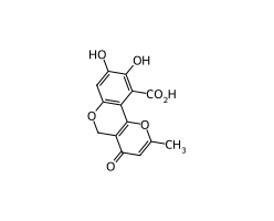 Cc1cc(=O)c2c(o1)-c1c(cc(O)c(O)c1C(=O)O)OC2